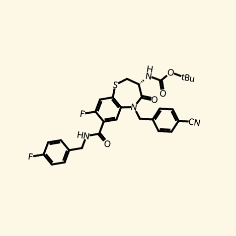 CC(C)(C)OC(=O)N[C@H]1CSc2cc(F)c(C(=O)NCc3ccc(F)cc3)cc2N(Cc2ccc(C#N)cc2)C1=O